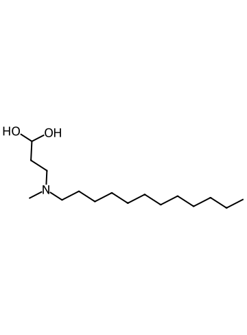 CCCCCCCCCCCCN(C)CCC(O)O